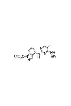 CCCNc1nc(Nc2cccc3c2cnn3C(=O)OCC)ncc1C